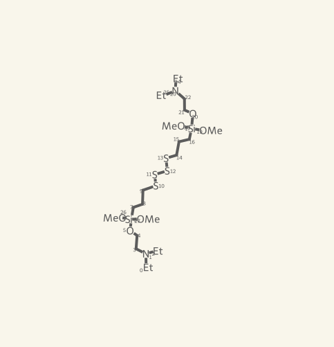 CCN(CC)CCO[Si](CCCSSSSCCC[Si](OC)(OC)OCCN(CC)CC)(OC)OC